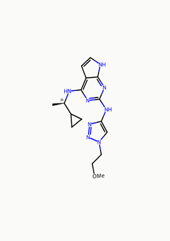 COCCn1cc(Nc2nc(N[C@H](C)C3CC3)c3cc[nH]c3n2)nn1